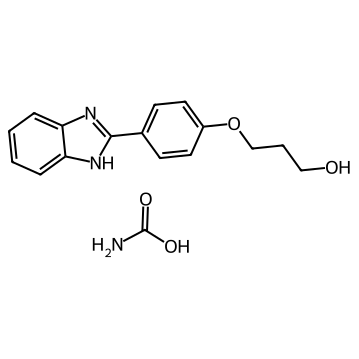 NC(=O)O.OCCCOc1ccc(-c2nc3ccccc3[nH]2)cc1